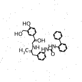 C[C@@H](Cc1cccc(NC(=O)Nc2ccccc2-c2ccccc2)c1)NC[C@H](O)c1ccc(O)c(CO)c1